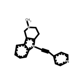 CN1CCc2c(c3ccccc3n2C#Cc2ccncc2)C1